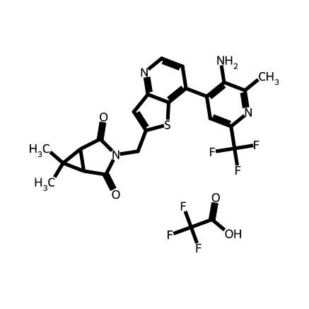 Cc1nc(C(F)(F)F)cc(-c2ccnc3cc(CN4C(=O)C5C(C4=O)C5(C)C)sc23)c1N.O=C(O)C(F)(F)F